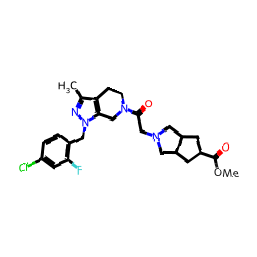 COC(=O)C1CC2CN(CC(=O)N3CCc4c(C)nn(Cc5ccc(Cl)cc5F)c4C3)CC2C1